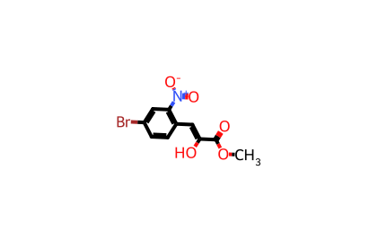 COC(=O)/C(O)=C/c1ccc(Br)cc1[N+](=O)[O-]